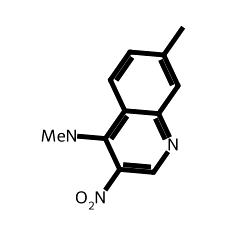 CNc1c([N+](=O)[O-])cnc2cc(C)ccc12